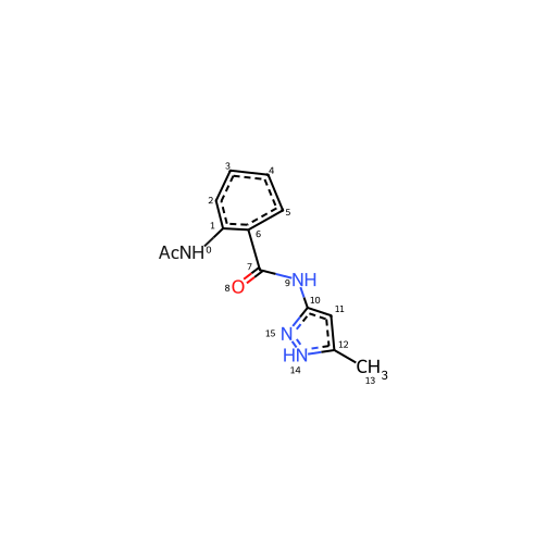 CC(=O)Nc1ccccc1C(=O)Nc1cc(C)[nH]n1